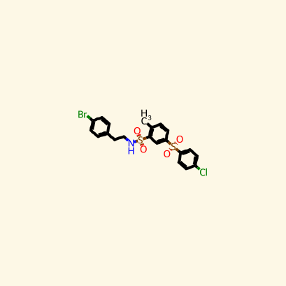 Cc1ccc(S(=O)(=O)c2ccc(Cl)cc2)cc1S(=O)(=O)NCCc1ccc(Br)cc1